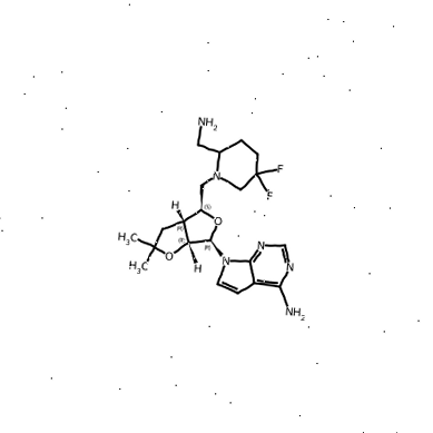 CC1(C)C[C@H]2[C@@H](O1)[C@H](n1ccc3c(N)ncnc31)O[C@@H]2CN1CC(F)(F)CCC1CN